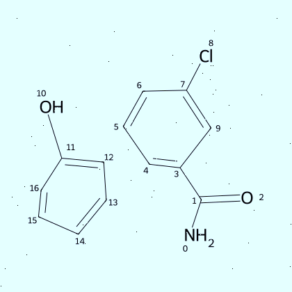 NC(=O)c1cccc(Cl)c1.Oc1ccccc1